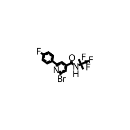 CC(C)(NC(=O)c1cc(Br)nc(-c2ccc(F)cc2)c1)C(F)(F)F